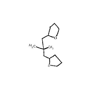 CC(C)(CC1CCCO1)CC1CCCO1